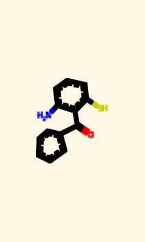 Nc1cccc(S)c1C(=O)c1ccccc1